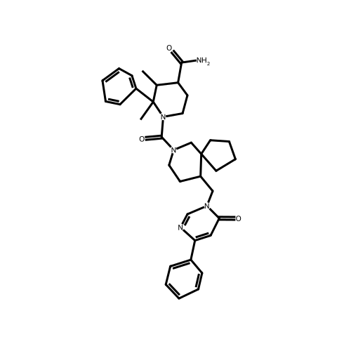 CC1C(C(N)=O)CCN(C(=O)N2CCC(Cn3cnc(-c4ccccc4)cc3=O)C3(CCCC3)C2)C1(C)c1ccccc1